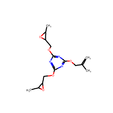 C=C(C)COc1nc(OCC2OC2C)nc(OCC2OC2C)n1